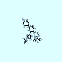 CS(=O)(=O)N1CCC(c2ccc(-c3ccc(F)cc3)cc2-c2ccn(C(F)F)n2)C1